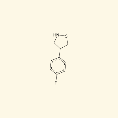 Fc1ccc(C2CNSC2)cc1